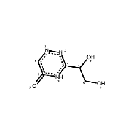 O=c1cnnc(C(O)CO)[nH]1